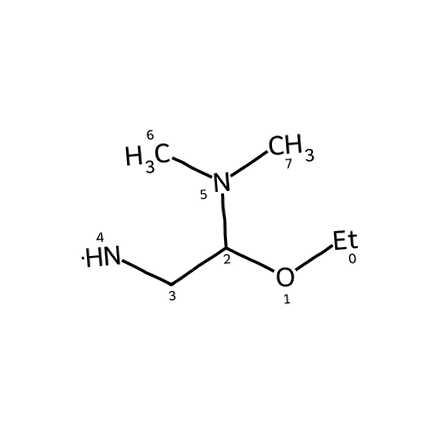 CCOC(C[NH])N(C)C